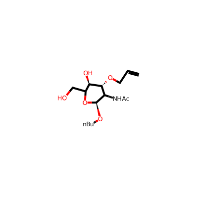 C=CCO[C@@H]1C(NC(C)=O)[C@@H](OCCCC)OC(CO)[C@H]1O